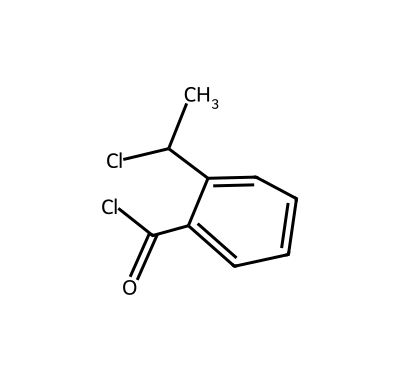 CC(Cl)c1ccccc1C(=O)Cl